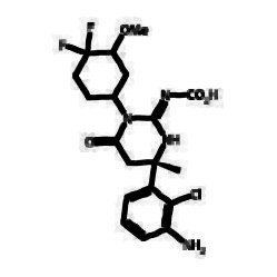 COC1CC(N2C(=O)C[C@@](C)(c3cccc(N)c3Cl)N/C2=N\C(=O)O)CCC1(F)F